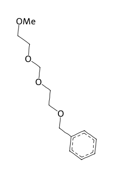 COCCOCOCCOCc1ccccc1